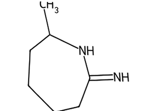 CC1CCCCC(=N)N1